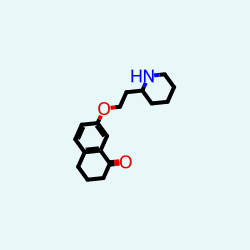 O=C1CCCc2ccc(OCCC3CCCCN3)cc21